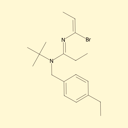 C/C=C(Br)\N=C(/CC)N(Cc1ccc(CC)cc1)C(C)(C)C